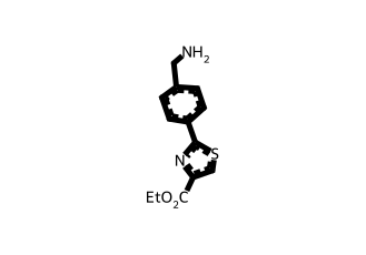 CCOC(=O)c1csc(-c2ccc(CN)cc2)n1